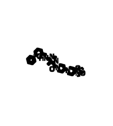 Cc1c(NCC2CCC[C@@H](c3ccccc3)O2)ncnc1C(=O)N1CCC(N2CCC(N(C)S(C)(=O)=O)CC2)CC1